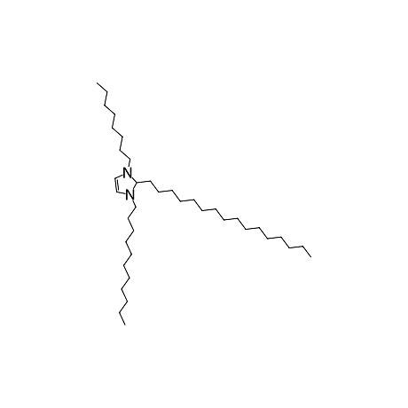 CCCCCCCCCCCCCCCCC1N(CCCCCCCC)C=CN1CCCCCCCCCCC